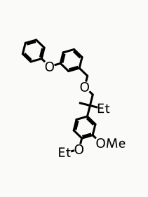 CCOc1ccc(C(C)(CC)COCc2cccc(Oc3ccccc3)c2)cc1OC